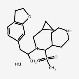 CC(Cc1ccc2c(c1)OCC2)N(CC1CC1)C(C1CCNCC1)S(C)(=O)=O.Cl